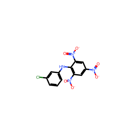 O=[N+]([O-])c1cc([N+](=O)[O-])c(Nc2cccc(Cl)c2)c([N+](=O)[O-])c1